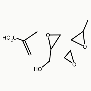 C1CO1.C=C(C)C(=O)O.CC1CO1.OCC1CO1